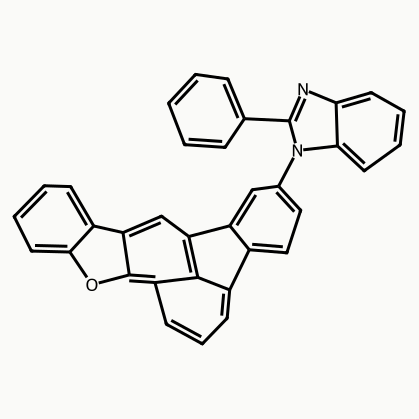 c1ccc(-c2nc3ccccc3n2-c2ccc3c(c2)-c2cc4c5ccccc5oc4c4cccc-3c24)cc1